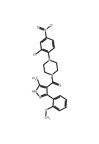 COc1ccccc1-c1n[nH]c(C)c1C(=O)N1CCN(c2ccc([N+](=O)[O-])cc2Cl)CC1